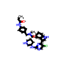 C=CC(=O)Nc1ccc(CN(C)C(=O)[C@H]2CNC[C@H](Nc3ncc(Cl)c(-c4c[nH]c5ccccc45)n3)C2)cc1